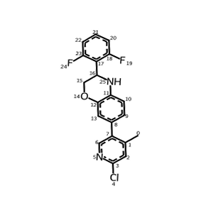 Cc1cc(Cl)ncc1-c1ccc2c(c1)OCC(c1c(F)cccc1F)N2